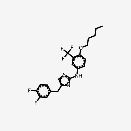 CCCCCOc1ccc(Nc2nc(Cc3ccc(F)c(F)c3)cs2)cc1C(F)(F)F